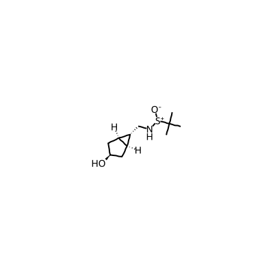 CC(C)(C)[S+]([O-])NC[C@@H]1[C@H]2C[C@@H](O)C[C@@H]12